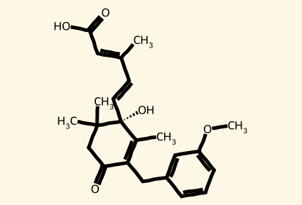 COc1cccc(CC2=C(C)[C@](O)(C=CC(C)=CC(=O)O)C(C)(C)CC2=O)c1